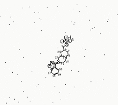 CS(=O)(=O)OCC1CCN2CCN(c3noc4ccccc34)CC2C1